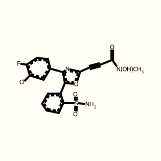 CN(O)C(=O)C#Cc1nc(-c2ccc(F)c(Cl)c2)c(-c2ccccc2S(N)(=O)=O)o1